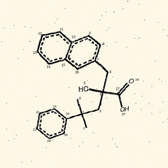 CC(C)(CC(O)(Cc1ccc2ccccc2c1)C(=O)O)c1ccccc1